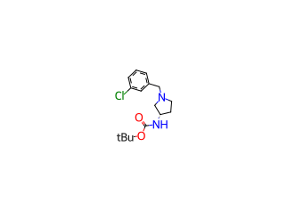 CC(C)(C)OC(=O)N[C@H]1CCN(Cc2cccc(Cl)c2)C1